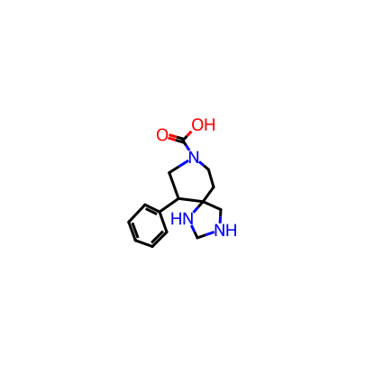 O=C(O)N1CCC2(CNCN2)C(c2ccccc2)C1